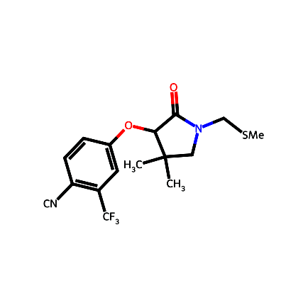 [C-]#[N+]c1ccc(OC2C(=O)N(CSC)CC2(C)C)cc1C(F)(F)F